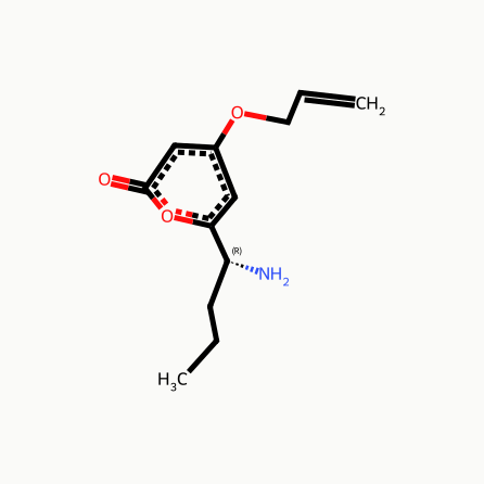 C=CCOc1cc([C@H](N)CCC)oc(=O)c1